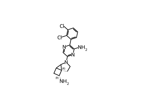 Nc1nc(N2CC[C@@]34C(C[C@H]3N)C24)cnc1-c1cccc(Cl)c1Cl